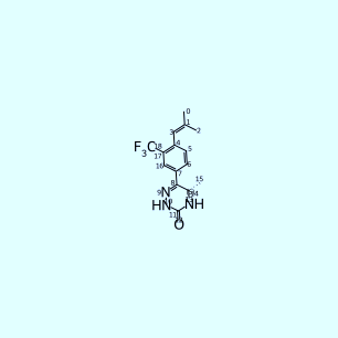 CC(C)=Cc1ccc(C2=NNC(=O)N[C@H]2C)cc1C(F)(F)F